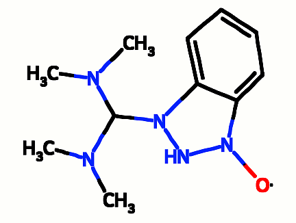 CN(C)C(N(C)C)N1NN([O])c2ccccc21